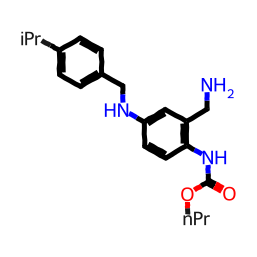 CCCOC(=O)Nc1ccc(NCc2ccc(C(C)C)cc2)cc1CN